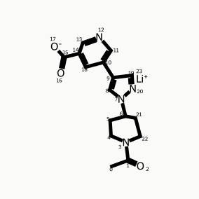 CC(=O)N1CCC(n2cc(-c3cncc(C(=O)[O-])c3)cn2)CC1.[Li+]